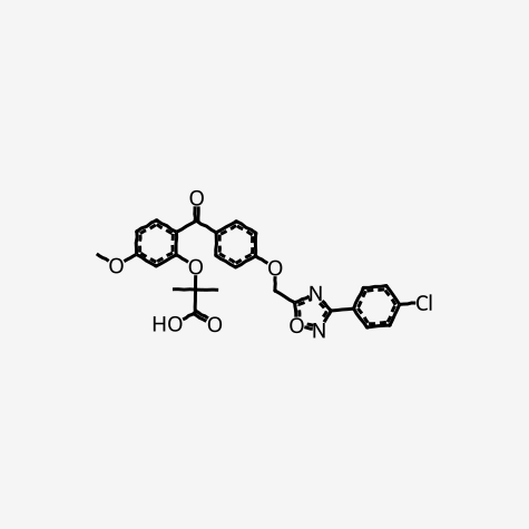 COc1ccc(C(=O)c2ccc(OCc3nc(-c4ccc(Cl)cc4)no3)cc2)c(OC(C)(C)C(=O)O)c1